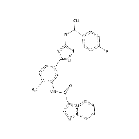 Cc1ccc(-c2nc(NC(C)c3ccc(F)cc3)no2)cc1NC(=O)c1cnc2ccccn12